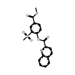 COC(=O)c1ccc(OC(=O)c2ccc3ccccc3n2)c(S(C)(=O)=O)c1